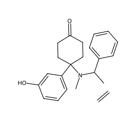 C=C.CC(c1ccccc1)N(C)C1(c2cccc(O)c2)CCC(=O)CC1